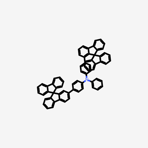 c1ccc(N(c2ccc(-c3ccc4c(c3)C3(c5ccccc5-c5ccccc53)c3ccccc3-4)cc2)c2ccc(-c3cccc4c3C3(c5ccccc5-c5ccccc53)c3ccccc3-4)cc2)cc1